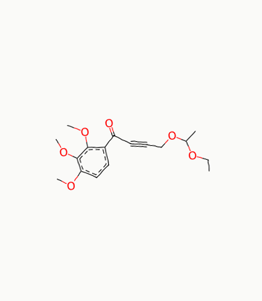 CCOC(C)OCC#CC(=O)c1ccc(OC)c(OC)c1OC